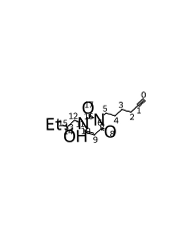 C#CCCCCn1c(=O)ccn(CC(O)CC)c1=O